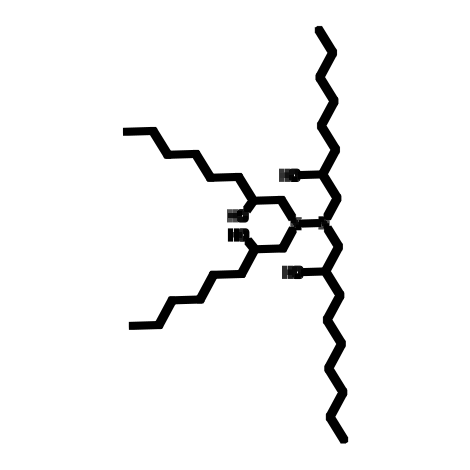 CCCCCCCC(O)CN(CC(O)CCCCCC)N(CC(O)CCCCCC)CC(O)CCCCCC